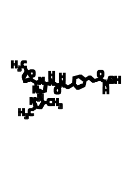 Cc1cc(C)n(-c2cc(NC(=O)NCc3ccc(/C=C/C(=O)NO)cc3)nc(-c3ccc(C)o3)n2)n1